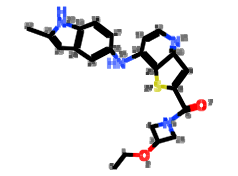 CCOC1CN(C(=O)c2cc3nccc(Nc4ccc5[nH]c(C)cc5c4)c3s2)C1